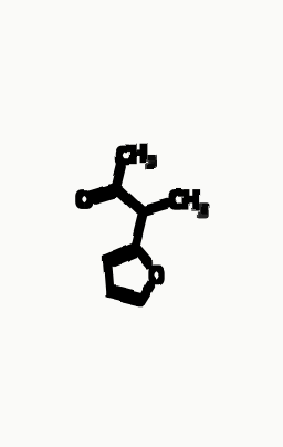 CC(=O)C(C)c1ccco1